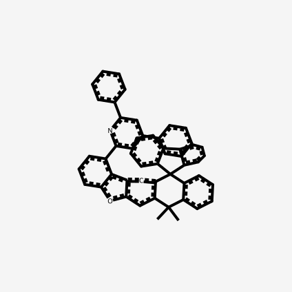 CC1(C)c2ccccc2C2(c3ccccc3-c3ccccc32)c2cc3c(cc21)oc1cccc(-c2cc(-c4ccccc4)cc(-c4ccccc4)n2)c13